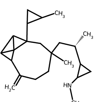 C=C1CCC(C)(C[C@H](C)C2CC2NC)CC2(C3CC3C)C3C4C1C432